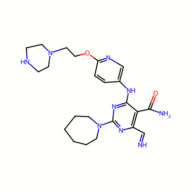 N=Cc1nc(N2CCCCCC2)nc(Nc2ccc(OCCN3CCNCC3)nc2)c1C(N)=O